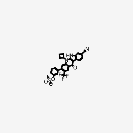 N#Cc1ccc2c(c1)[nH]c1c2c(=O)c2cc(C(F)(F)F)c(-c3cccc(OS(=O)(=O)F)c3)cc2n1C1CCC1